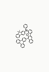 CC1(C)c2ccccc2-c2ccc(N(c3ccccc3)c3cccc4c3oc3c(-c5ccc6c7ccccc7c7ccccc7c6c5)c5ccccc5cc34)cc21